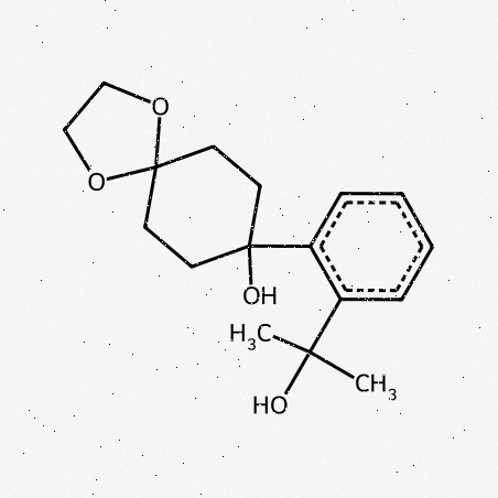 CC(C)(O)c1ccccc1C1(O)CCC2(CC1)OCCO2